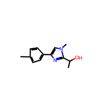 Cc1ccc(-c2cn(C)c(C(C)O)n2)cc1